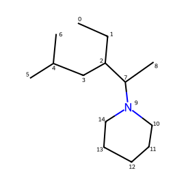 CCC(CC(C)C)C(C)N1CCCCC1